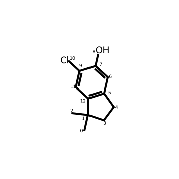 CC1(C)CCc2cc(O)c(Cl)cc21